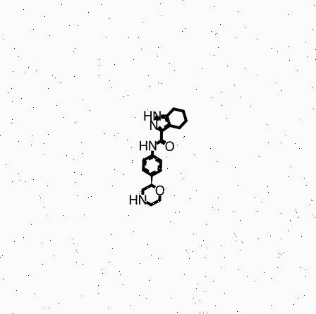 O=C(Nc1ccc([C@@H]2CNCCO2)cc1)c1n[nH]c2c1CCCC2